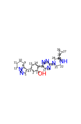 Oc1cc(-c2cnn3c2CCCC3)ccc1-c1cnc(N2CCN[C@H](C3CC3)C2)nn1